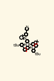 Cc1cc2c3c(c1)N(c1ccc(C(C)(C)C)cc1-c1ccccc1)c1cc4c(cc1B3c1ccc(N3c5ccc(-c6ccncc6)cc5C5(C)CCCCC35C)cc1N2c1ccc(C(C)(C)C)cc1-c1ccccc1)CC(C)(C)C4